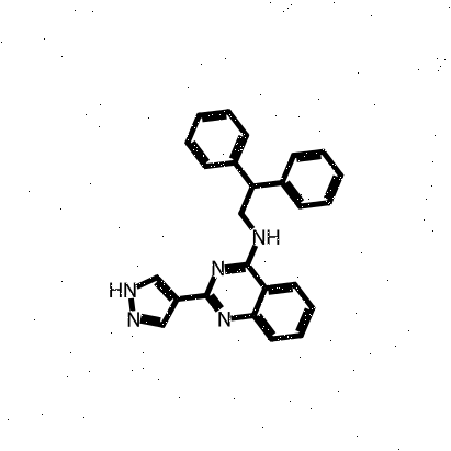 c1ccc(C(CNc2nc(-c3cn[nH]c3)nc3ccccc23)c2ccccc2)cc1